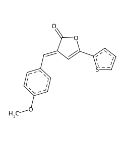 COc1ccc(/C=C2\C=C(c3cccs3)OC2=O)cc1